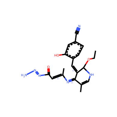 CCOC1NC=C(C)C(=N/C(C)=C/C(=O)N=NN)/C1=C/c1ccc(C#N)cc1O